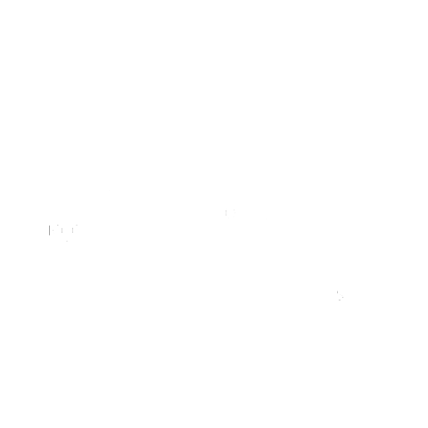 O=C(O)c1cccc(COc2ccc3ccsc3c2)c1